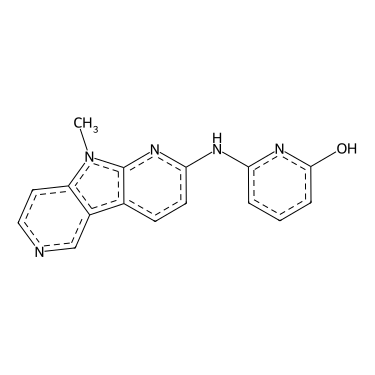 Cn1c2ccncc2c2ccc(Nc3cccc(O)n3)nc21